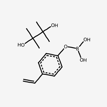 C=Cc1ccc(OB(O)O)cc1.CC(C)(O)C(C)(C)O